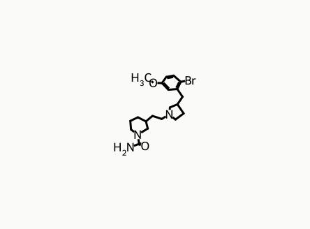 COc1ccc(Br)c(CC2CCN(CCC3CCCN(C(N)=O)C3)C2)c1